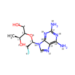 C[C@H](O)C(CO)O[C@H](CF)n1cnc2c(N)nc(N)nc21